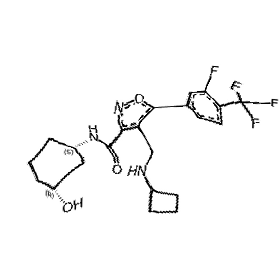 O=C(N[C@H]1CCC[C@@H](O)C1)c1noc(-c2ccc(C(F)(F)F)c(F)c2)c1CNC1CCC1